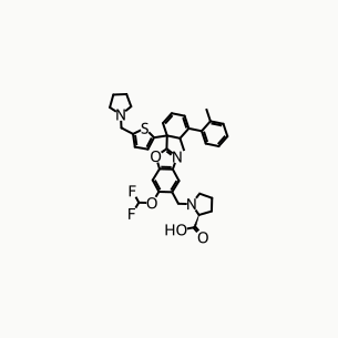 Cc1ccccc1C1=CC=CC(c2nc3cc(CN4CCC[C@H]4C(=O)O)c(OC(F)F)cc3o2)(c2ccc(CN3CCCC3)s2)C1C